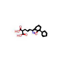 O=C(O)C(C/C=C/c1noc2c(-c3ccccc3)cccc12)C(=O)O